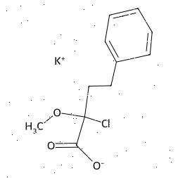 COC(Cl)(CCc1ccccc1)C(=O)[O-].[K+]